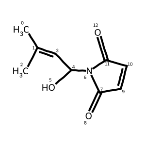 CC(C)=CC(O)N1C(=O)C=CC1=O